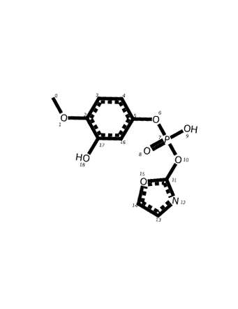 COc1ccc(OP(=O)(O)Oc2ncco2)cc1O